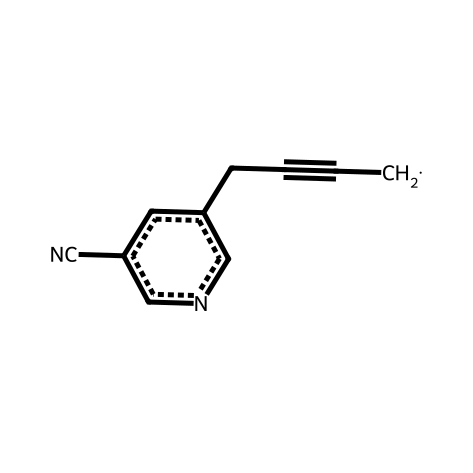 [CH2]C#CCc1cncc(C#N)c1